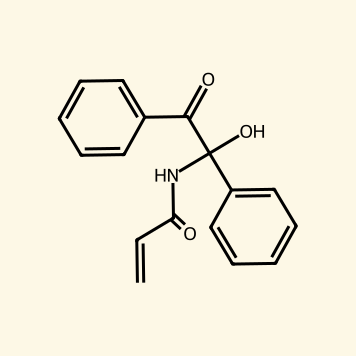 C=CC(=O)NC(O)(C(=O)c1ccccc1)c1ccccc1